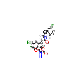 C[C@H](N(Cc1ccc(F)cc1)C(=O)CC1CC2(OC(=O)NC2=O)c2cc(F)c(Br)cc21)C(F)(F)F